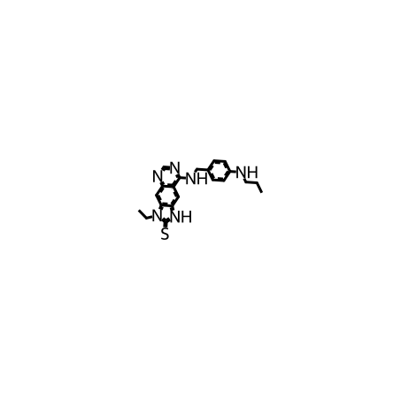 CCCNc1ccc(CNc2ncnc3cc4c(cc23)[nH]c(=S)n4CC)cc1